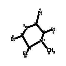 CCC1SC(CC)C(CC)N(C)C1CC